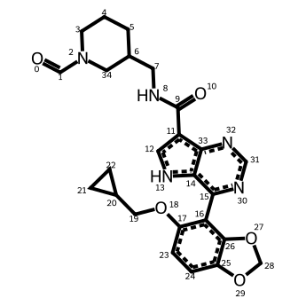 O=CN1CCCC(CNC(=O)c2c[nH]c3c(-c4c(OCC5CC5)ccc5c4OCO5)ncnc23)C1